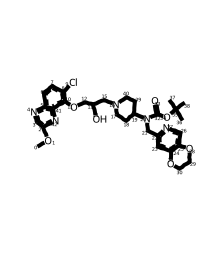 COc1cnc2ccc(Cl)c(OCC(O)CN3CCC(N(Cc4cc5c(cn4)OCCO5)C(=O)OC(C)(C)C)CC3)c2n1